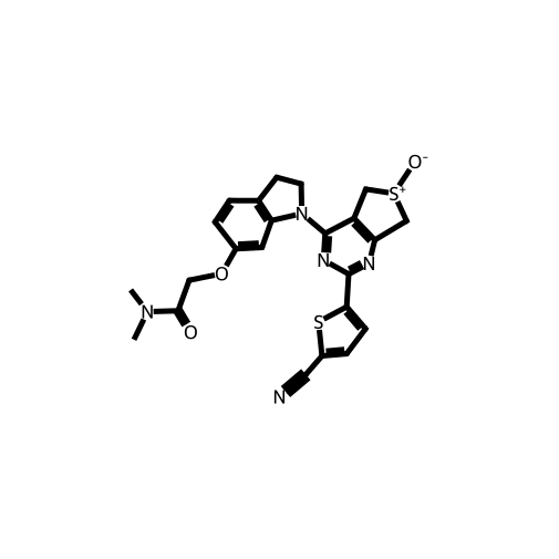 CN(C)C(=O)COc1ccc2c(c1)N(c1nc(-c3ccc(C#N)s3)nc3c1C[S+]([O-])C3)CC2